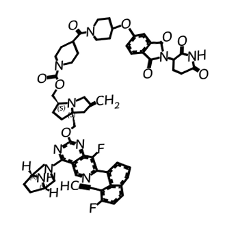 C#Cc1c(F)ccc2cccc(-c3ncc4c(N5C[C@H]6CC[C@@H](C5)N6)nc(OC[C@@]56CC[C@@H](COC(=O)N7CCC(C(=O)N8CCC(Oc9ccc%10c(c9)C(=O)N(C9CCC(=O)NC9=O)C%10=O)CC8)CC7)N5CC(=C)C6)nc4c3F)c12